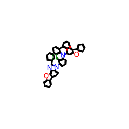 Clc1c(N(c2ccc3c(c2)oc2ccccc23)c2ccccc2-c2ccccc2)cccc1-n1c(-c2ccccc2)nc2c3oc4ccccc4c3ccc21